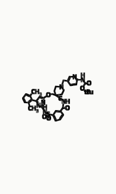 Cc1cccc(C)c1-c1cc2nc(n1)NS(=O)(=O)c1cccc(c1)C(=O)NCC1(CCN(Cc3ccc(NC(=O)OC(C)(C)C)nc3)CC1)CO2